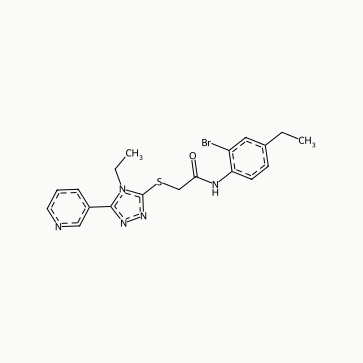 CCc1ccc(NC(=O)CSc2nnc(-c3cccnc3)n2CC)c(Br)c1